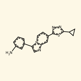 Nc1cccc(-c2cnc3cc(-c4nnc(C5CC5)s4)ccn23)c1